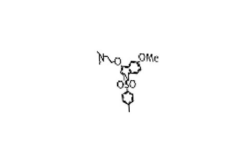 COc1ccc2c(c1)c(OCCN(C)C)cn2S(=O)(=O)c1ccc(C)cc1